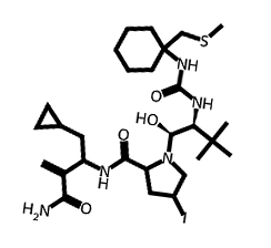 C=C(C(N)=O)C(CC1CC1)NC(=O)C1CC(I)CN1[C@@H](O)[C@@H](NC(=O)NC1(CSC)CCCCC1)C(C)(C)C